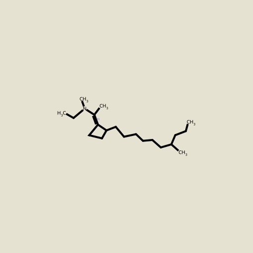 CCCC(C)CCCCCCC1CC/C1=C(/C)N(C)CC